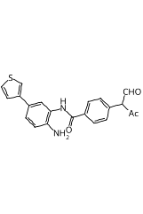 CC(=O)C(C=O)c1ccc(C(=O)Nc2cc(-c3ccsc3)ccc2N)cc1